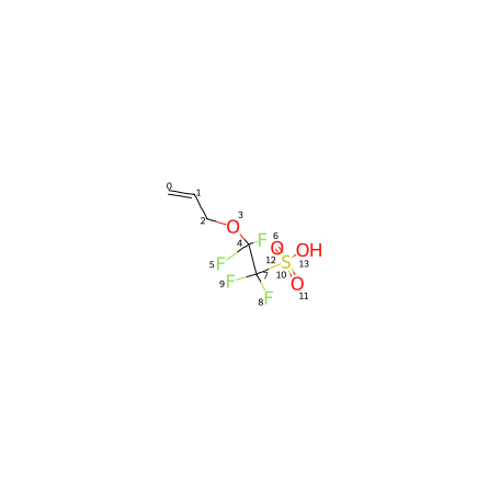 C=CCOC(F)(F)C(F)(F)S(=O)(=O)O